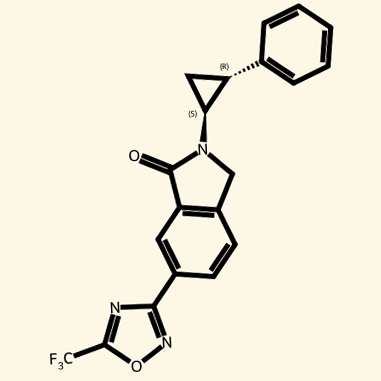 O=C1c2cc(-c3noc(C(F)(F)F)n3)ccc2CN1[C@H]1C[C@@H]1c1ccccc1